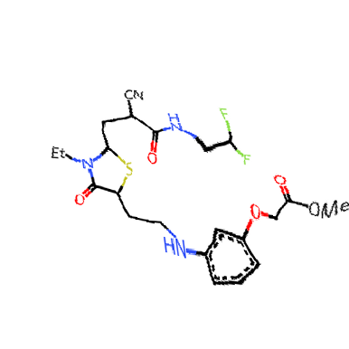 CCN1C(=O)C(CCNc2cccc(OCC(=O)OC)c2)SC1CC(C#N)C(=O)NCC(F)F